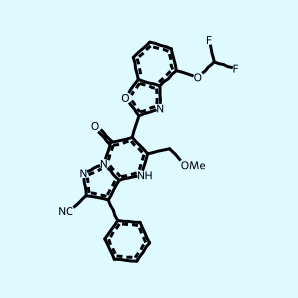 COCc1[nH]c2c(-c3ccccc3)c(C#N)nn2c(=O)c1-c1nc2c(OC(F)F)cccc2o1